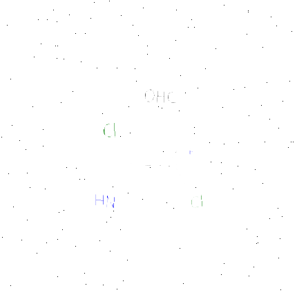 N=C(Cl)/C(Cl)=C\[C]=O